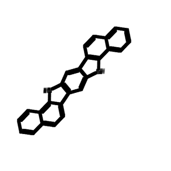 c1ccc2c(c1)ccc1c3cc4[nH]c5c6ccccc6ccc5c4cc3[nH]c21